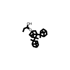 CC1(C)C2CCC(C)(C3(C)CCC4CC3(C3(C)CCC5CC3C5(C)C)C4(C)C)C1C2.CCC(=O)O